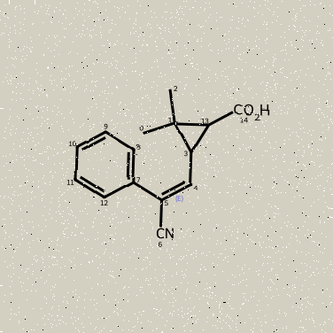 CC1(C)C(/C=C(/C#N)c2ccccc2)C1C(=O)O